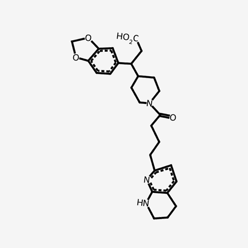 O=C(O)CC(c1ccc2c(c1)OCO2)C1CCN(C(=O)CCCc2ccc3c(n2)NCCC3)CC1